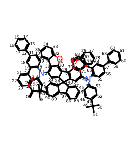 C=C(/C=C\C(=C/C)N(c1ccc(-c2ccccc2)cc1-c1ccccc1)c1cc2c(c3oc4ccccc4c13)-c1c(cc(N(c3ccc(C(C)(C)C)cc3)c3ccc(-c4ccccc4)cc3-c3ccccc3)c3c1oc1ccccc13)C21c2ccccc2-c2ccccc21)C(C)(C)C